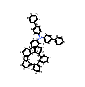 c1ccc(-c2ccc(N(c3ccc(-c4ccccc4)cc3)c3ccc(-c4cccc5c6ccccc6c6ccccc6c6ccccc6c6ccccc6c45)cc3)cc2)cc1